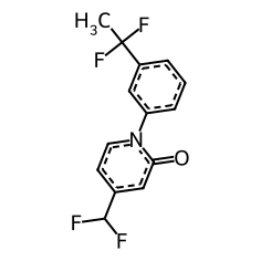 CC(F)(F)c1cccc(-n2ccc(C(F)F)cc2=O)c1